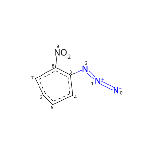 [N-]=[N+]=Nc1ccccc1[N+](=O)[O-]